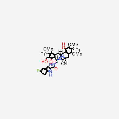 COc1c(C)c(OC)c2c(c1O)[C@H]1[C@@H]3Cc4c(OC)c(C)c(CO)c(O)c4[C@H](CNC(=O)c4cc5cc(F)ccc5[nH]4)N3[C@@H](C#N)[C@H](C2)N1C